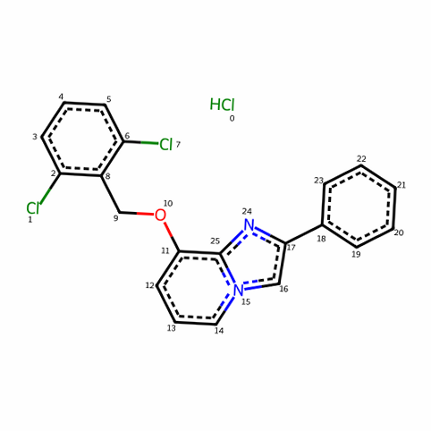 Cl.Clc1cccc(Cl)c1COc1cccn2cc(-c3ccccc3)nc12